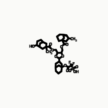 CC1C=C2CCCC(C(=O)OCC3OC(C4CC5CCCC(OC(=O)C(F)(F)S(=O)(=O)O)(C5)C4)OC3COC(=O)C3(C)CC4CCC(O)C(C4)C3)(C2)C1